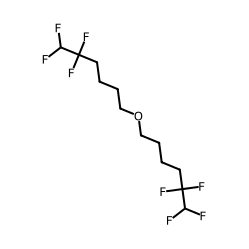 FC(F)C(F)(F)CCCCOCCCCC(F)(F)C(F)F